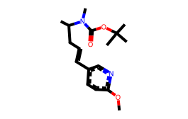 COc1ccc(/C=C/CC(C)N(C)C(=O)OC(C)(C)C)cn1